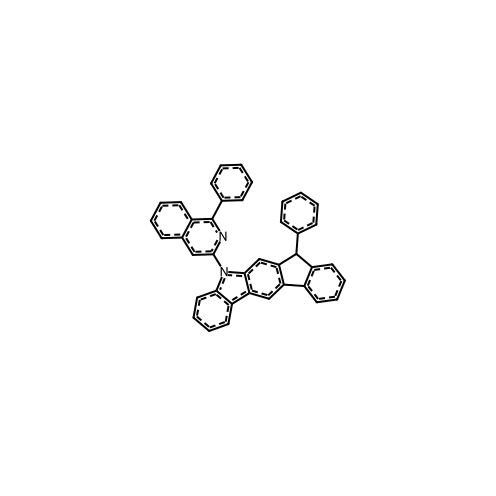 c1ccc(-c2nc(-n3c4ccccc4c4cc5c(cc43)C(c3ccccc3)c3ccccc3-5)cc3ccccc23)cc1